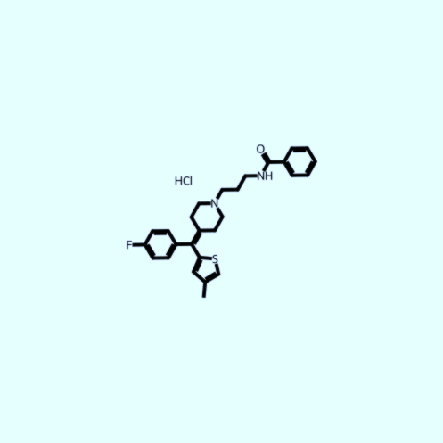 Cc1csc(C(=C2CCN(CCCNC(=O)c3ccccc3)CC2)c2ccc(F)cc2)c1.Cl